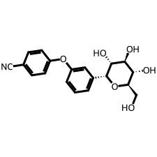 N#Cc1ccc(Oc2cccc([C@H]3O[C@H](CO)[C@@H](O)[C@H](O)[C@H]3O)c2)cc1